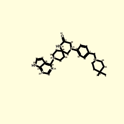 CC1(C)CCN(Cc2ccc(N3CC(=O)NC4(CCN(c5ncnc6[nH]ccc56)CC4)C3)cc2)CC1